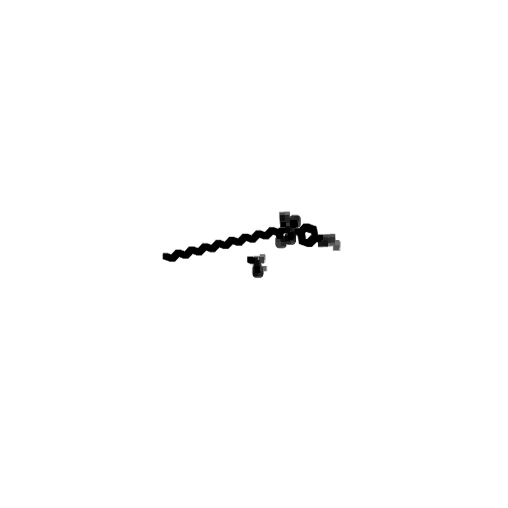 CCCCCCCCCCCCCCCCCC(=O)NS(=O)(=O)c1ccc(N)cc1.C[S+](C)[O-]